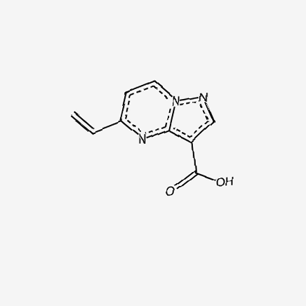 C=Cc1ccn2ncc(C(=O)O)c2n1